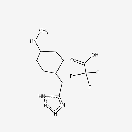 CNC1CCC(Cc2nnn[nH]2)CC1.O=C(O)C(F)(F)F